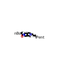 CCCCC(C)C(=O)N1CCC2(CCN(CCCC(C)CCC)CC2)CC1